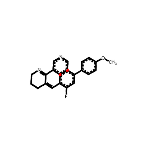 COc1ccc(-c2ccc(/C=C3/CCCN=C3c3cccnc3)c(F)c2)cc1